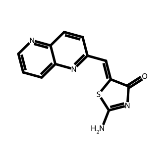 NC1=NC(=O)C(=Cc2ccc3ncccc3n2)S1